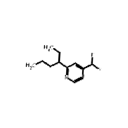 CCCC(CC)c1cc(C(F)F)ccn1